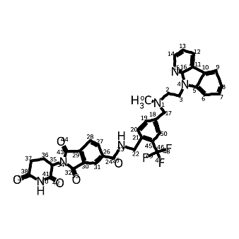 CN(CCn1c2ccccc2c2cccnc21)Cc1ccc(CNC(=O)c2ccc3c(c2)C(=O)N(C2CCC(=O)NC2=O)C3=O)c(C(F)(F)F)c1